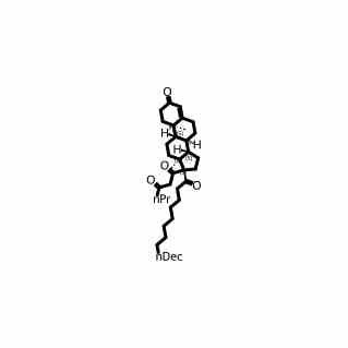 CCCCCCCCCCCCCCCCCC(=O)[C@]1(C(=O)CC(=O)CCC)CC[C@H]2[C@@H]3CCC4=CC(=O)CC[C@]4(C)[C@H]3CC[C@@]21C